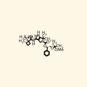 COC(C)(C)OC[C@@H](OC(=O)N1Cc2c(NC(=O)C3(S(C)(C)C)CCC3)n[nH]c2C1(C)C)c1ccccc1